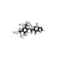 CC(C)(C)c1cc(C(C)(C)C)c(NC(=O)c2c[nH]c3ccsc3c2=O)cc1O